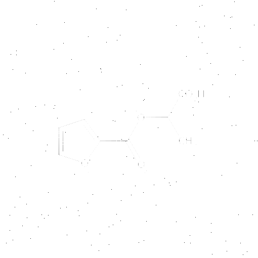 CC(OC(=O)c1ccco1)C(=O)O